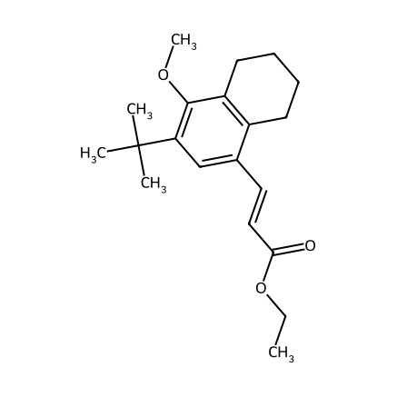 CCOC(=O)C=Cc1cc(C(C)(C)C)c(OC)c2c1CCCC2